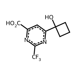 O=C(O)c1cc(C2(O)CCC2)nc(C(F)(F)F)n1